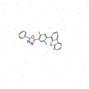 Cc1cc(-c2cccc3c2sc2ccccc23)c(C)cc1-c1nnc(-c2ccccc2)o1